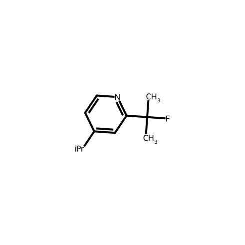 CC(C)c1ccnc(C(C)(C)F)c1